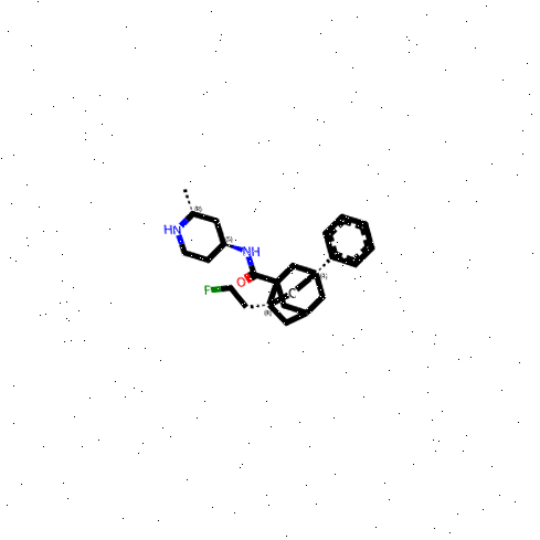 C[C@@H]1C[C@@H](NC(=O)C23CC4C[C@](c5ccccc5)(C2)C[C@@]3(CCF)C4)CCN1